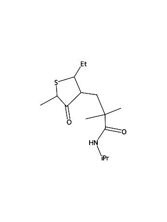 CCC1SC(C)C(=O)C1CC(C)(C)C(=O)NC(C)C